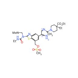 C=C(/N=C\C(=C/N)c1cc(COS(C)(=O)=O)c2sc(N(CNC)C(=O)NCC)nc2c1)N1CCC(CC)(C(=O)OCC)CC1